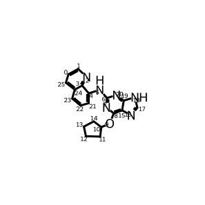 c1cnc2c(Nc3nc(OC4CCCC4)c4nc[nH]c4n3)cccc2c1